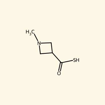 CN1CC(C(=O)S)C1